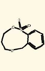 O=S1(=O)OCCCOCc2ccccc21